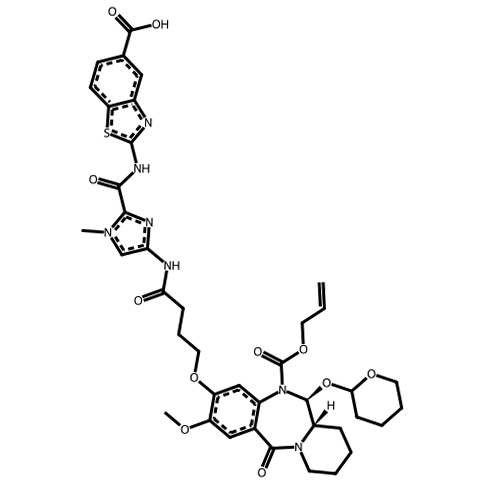 C=CCOC(=O)N1c2cc(OCCCC(=O)Nc3cn(C)c(C(=O)Nc4nc5cc(C(=O)O)ccc5s4)n3)c(OC)cc2C(=O)N2CCCC[C@H]2[C@@H]1OC1CCCCO1